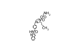 CCCCC1CN(Cc2ccc(C(=O)Nc3nc4ccccc4s3)cc2)CCN1C(=O)OC(=O)CN